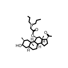 CCCN(CCC)CC(=O)O[C@H]1C[C@]2(C)[C@@H](C(C)=O)CC[C@H]2[C@@H]2CC[C@H]3C[C@H](O)[C@@H](C)C[C@]3(C)[C@H]21